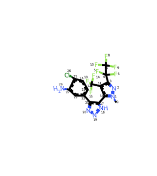 Cn1nc(C(F)(F)C(F)(F)F)c(C(F)(F)F)c1-c1[nH]nnc1-c1ccc(Cl)c(N)c1